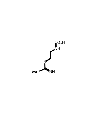 CSC(=N)NCCNC(=O)O